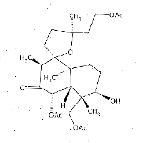 CC(=O)OCC[C@]1(C)CC[C@@]2(O1)[C@H](C)C(=O)[C@@H](OC(C)=O)[C@H]1[C@@](C)(COC(C)=O)[C@H](O)CC[C@@]12C